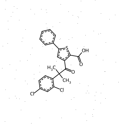 CC(C)(C(=O)c1cc(-c2ccccc2)sc1C(=O)O)c1ccc(Cl)cc1Cl